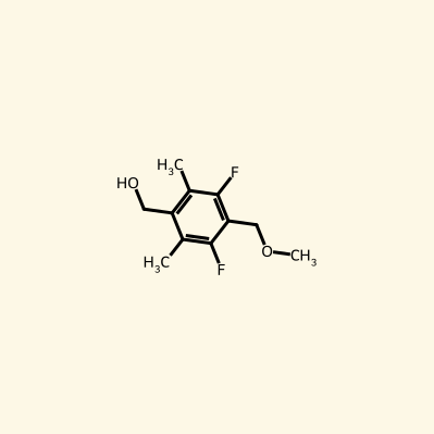 COCc1c(F)c(C)c(CO)c(C)c1F